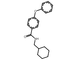 O=C(NCC1CCCCC1)c1ccc(Oc2ccccc2)cc1